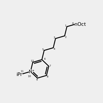 CCCCCCCCCCCCCc1ccc[n+](C(C)C)c1